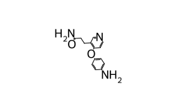 NC(=O)CCc1cnccc1Oc1ccc(N)cc1